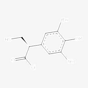 CC(C)(C)c1cc([C@H](CS)C(=O)Cl)cc(C(C)(C)C)c1O